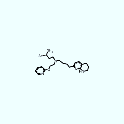 CC(=O)[C@@H](N)CCN(CCCCc1ccc2c(n1)NCCC2)CCOc1ccccn1